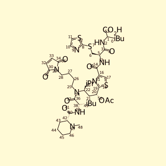 CCC(C)C(NC(=O)[C@H](CSc1nccs1)NC(=O)c1csc([C@@H](C[C@H](C(C)C)N(CCCCN2C(=O)C=CC2=O)C(=O)[C@@H](NC(=O)[C@H]2CCCCN2C)[C@@H](C)CC)OC(C)=O)n1)C(=O)O